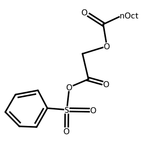 CCCCCCCCC(=O)OCC(=O)OS(=O)(=O)c1ccccc1